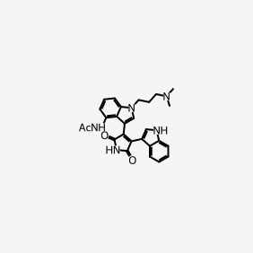 CC(=O)Nc1cccc2c1c(C1=C(c3c[nH]c4ccccc34)C(=O)NC1=O)cn2CCCN(C)C